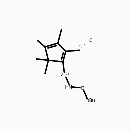 CCCCO[NH][Zr+2][C]1=C(C)C(C)=C(C)C1(C)C.[Cl-].[Cl-]